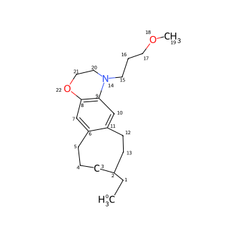 CCC1CCCc2cc3c(cc2CC1)N(CCCOC)CCO3